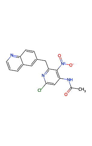 CC(=O)Nc1cc(Cl)nc(Cc2ccc3ncccc3c2)c1[N+](=O)[O-]